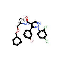 CC[C@H](COCc1ccccc1)NC(=O)c1cnn(-c2ccc(Cl)cc2Cl)c1-c1cccc(Br)c1